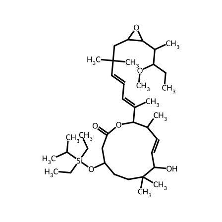 CCC(OC)C(C)C1OC1CC(C)(C)/C=C/C=C(\C)C1OC(=O)CC(O[Si](CC)(CC)C(C)C)CCC(C)(C)C(O)/C=C/C1C